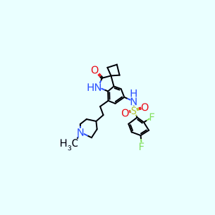 CN1CCC(CCc2cc(NS(=O)(=O)c3ccc(F)cc3F)cc3c2NC(=O)C32CCC2)CC1